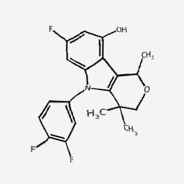 CC1OCC(C)(C)c2c1c1c(O)cc(F)cc1n2-c1ccc(F)c(F)c1